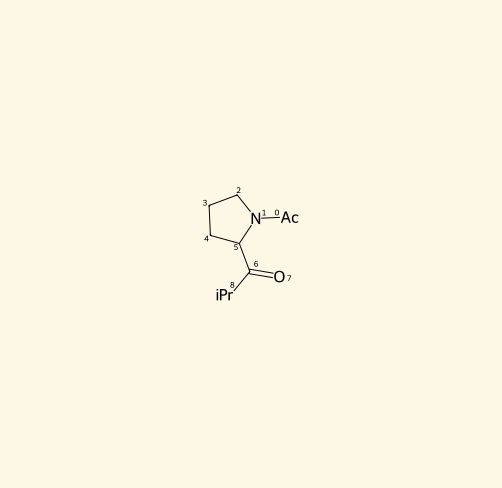 CC(=O)N1CCCC1C(=O)C(C)C